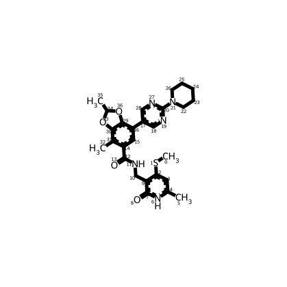 CSc1cc(C)[nH]c(=O)c1CNC(=O)c1cc(-c2cnc(N3CCCCC3)nc2)c2c(c1C)OC(C)O2